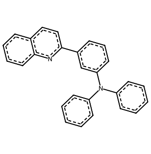 c1ccc(N(c2ccccc2)c2cccc(-c3ccc4ccccc4n3)c2)cc1